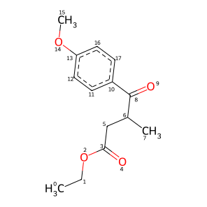 CCOC(=O)CC(C)C(=O)c1ccc(OC)cc1